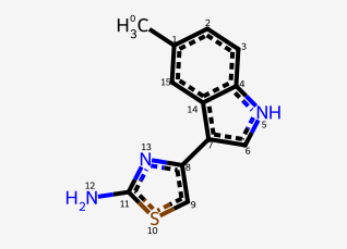 Cc1ccc2[nH]cc(-c3csc(N)n3)c2c1